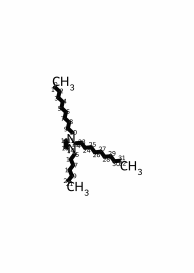 CCCCCCCCCCCn1cc[n+](CCCCCCC)c1CCCCCCCCCC